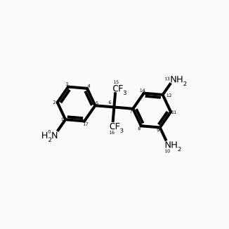 Nc1cccc(C(c2cc(N)cc(N)c2)(C(F)(F)F)C(F)(F)F)c1